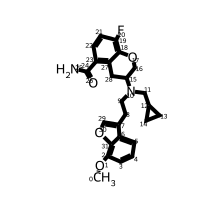 COc1cccc2c(CCN(CC3CC3)C3COc4c(F)ccc(C(N)=O)c4C3)coc12